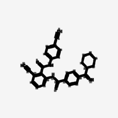 C#Cc1ccc(NC(=O)c2c(C#C)cccc2NC(=O)c2ccc(C(=N)N3CCCCC3)cc2)cc1